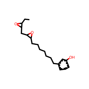 CCC1OC1CC1OC1CCCCCCCc1cccc(O)c1